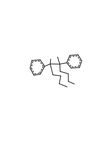 CCCCC(C)(c1ccccc1)C(C)(CCCC)c1ccccc1